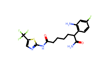 NC(=O)C(CCCCC(=O)Nc1ncc(C(F)(F)F)s1)c1ccc(F)cc1N